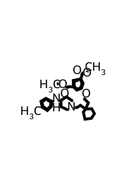 COC(=O)c1cc(OCCC2(CCN3CCC(Nc4ccc(C)cc4)CC3)CCCCC2)cc(C(=O)OC)c1